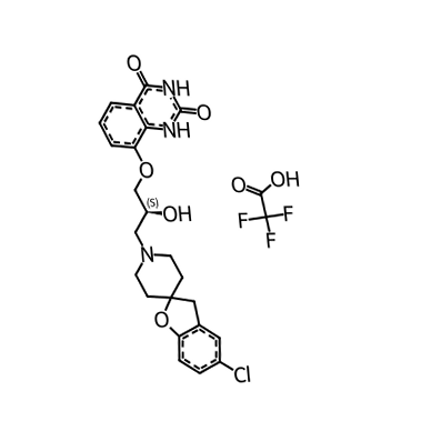 O=C(O)C(F)(F)F.O=c1[nH]c(=O)c2cccc(OC[C@@H](O)CN3CCC4(CC3)Cc3cc(Cl)ccc3O4)c2[nH]1